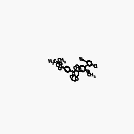 COc1cn(C(CC2COCCO2)C(=O)Nc2ccc(C(=O)OC(C)(C)C)cc2)c(=O)cc1-c1cc(Cl)ccc1C#N